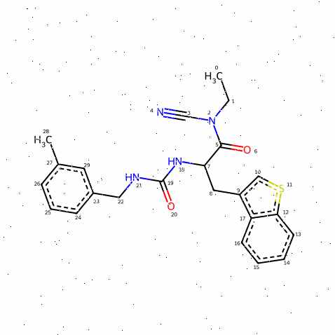 CCN(C#N)C(=O)C(Cc1csc2ccccc12)NC(=O)NCc1cccc(C)c1